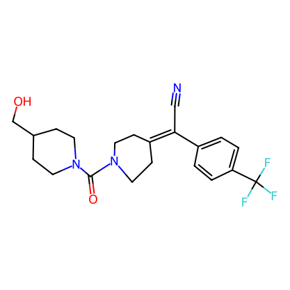 N#CC(=C1CCN(C(=O)N2CCC(CO)CC2)CC1)c1ccc(C(F)(F)F)cc1